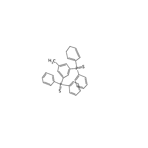 Cc1cc(P(=S)(C2=CCCC=C2)c2ccccc2)cc(P(=S)(c2ccccc2)c2ccccc2)c1